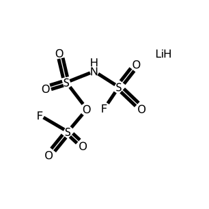 O=S(=O)(F)NS(=O)(=O)OS(=O)(=O)F.[LiH]